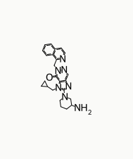 NC1CCCN(c2nc3cnn(Cc4nccc5ccccc45)c(=O)c3n2CC2CC2)C1